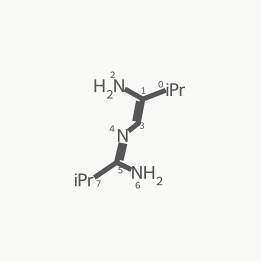 CC(C)/C(N)=C/N=C(\N)C(C)C